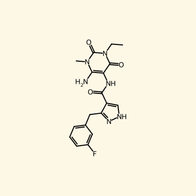 CCn1c(=O)c(NC(=O)c2c[nH]nc2Cc2cccc(F)c2)c(N)n(C)c1=O